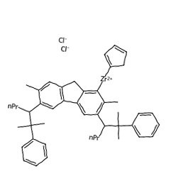 CCCC(c1cc2c(cc1C)Cc1c-2cc(C(CCC)C(C)(C)c2ccccc2)c(C)[c]1[Zr+2][C]1=CC=CC1)C(C)(C)c1ccccc1.[Cl-].[Cl-]